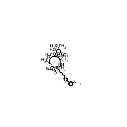 CC[C@H]1OC(=O)[C@H](C)C(=O)[C@@H](C)[C@@H](O[C@@H]2O[C@H](C)CC(N(C)C)C2O)[C@](C)(OC)C[C@@H](C)CN[C@H](C)[C@H]2N(CCCCCn3cc(-c4cccc(N)c4)nn3)C(=O)O[C@]12C